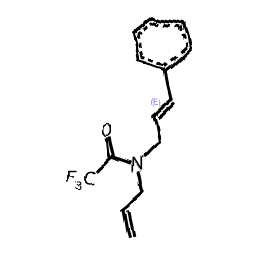 C=CCN(C/C=C/c1ccccc1)C(=O)C(F)(F)F